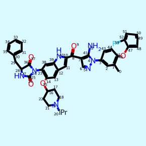 Cc1cc(-n2ncc(C(=O)c3cc4cc(OC5CCN(C(C)C)CC5)c(N5C(=O)NC(Cc6ccccc6)C5=O)cc4[nH]3)c2N)ccc1Oc1ccccc1F